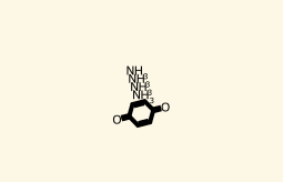 N.N.N.N.O=C1C=CC(=O)C=C1